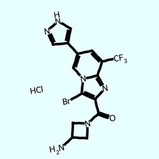 Cl.NC1CN(C(=O)c2nc3c(C(F)(F)F)cc(-c4cn[nH]c4)cn3c2Br)C1